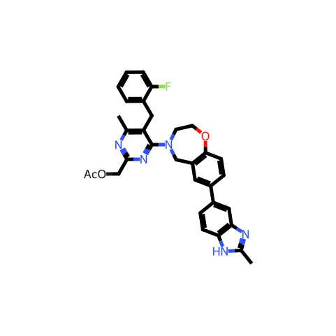 CC(=O)OCc1nc(C)c(Cc2ccccc2F)c(N2CCOc3ccc(-c4ccc5[nH]c(C)nc5c4)cc3C2)n1